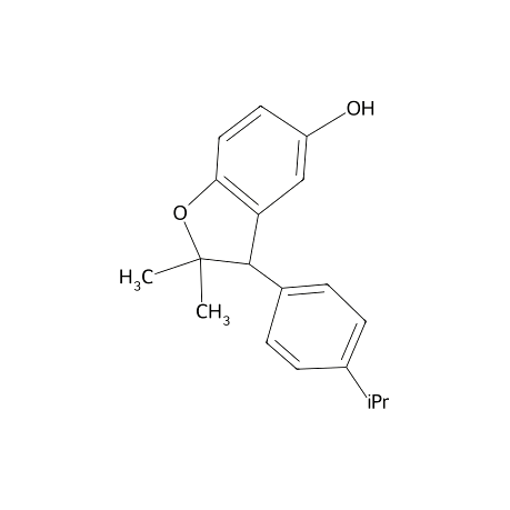 CC(C)c1ccc(C2c3cc(O)ccc3OC2(C)C)cc1